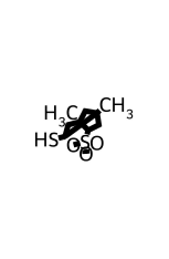 CC12CC3(C)CC1S(=O)(=O)OC3(S)C2